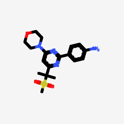 CC(C)(c1cc(N2CCOCC2)nc(-c2ccc(N)cc2)n1)S(C)(=O)=O